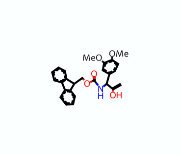 C=C(O)C(NC(=O)OCC1c2ccccc2-c2ccccc21)c1ccc(OC)c(OC)c1